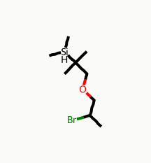 CC(Br)COCC(C)(C)[SiH](C)C